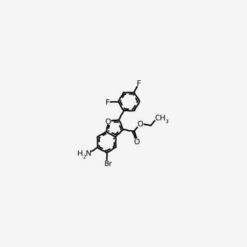 CCOC(=O)c1c(-c2ccc(F)cc2F)oc2cc(N)c(Br)cc12